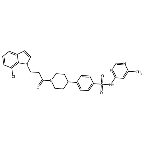 Cc1cc(NS(=O)(=O)c2ccc(C3CCN(C(=O)CCn4ccc5cccc(Cl)c54)CC3)cc2)ncn1